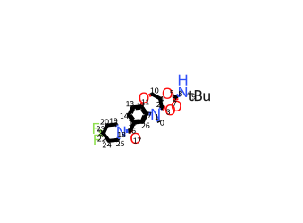 CN1C(=O)[C@@H](OC(=O)NC(C)(C)C)COc2ccc(C(=O)N3CCC(F)(F)CC3)cc21